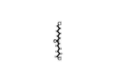 O=C(CCCCCCCl)CCCCCCCl